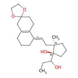 CCC(O)[C@@]1(O)CCC[C@]1(C)C/C=C1\CCCC2=C1CCC1(C2)OCCO1